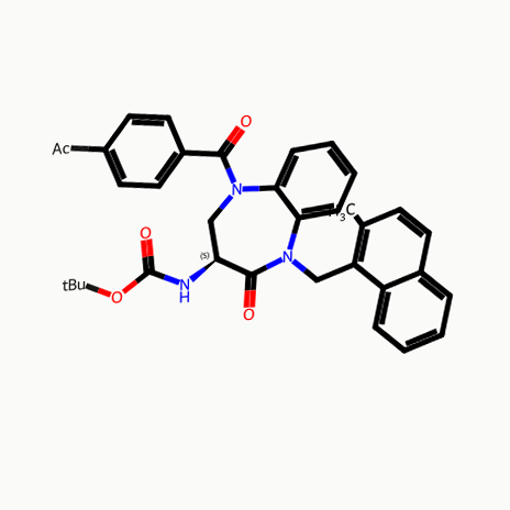 CC(=O)c1ccc(C(=O)N2C[C@H](NC(=O)OC(C)(C)C)C(=O)N(Cc3c(C)ccc4ccccc34)c3ccccc32)cc1